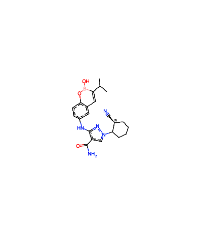 CC(C)C1=Cc2cc(Nc3nn(C4CCCC[C@@H]4C#N)cc3C(N)=O)ccc2OB1O